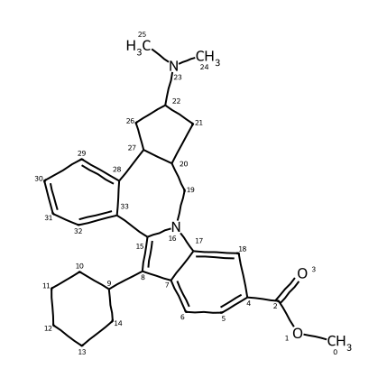 COC(=O)c1ccc2c(C3CCCCC3)c3n(c2c1)CC1CC(N(C)C)CC1c1ccccc1-3